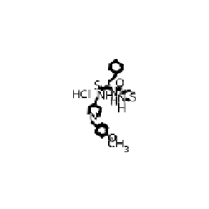 COc1ccc(CN2CCC(CNC(=S)[C@@H](CCC3CCCCC3)NC(=O)[C@@H]3CSCN3)CC2)cc1.Cl